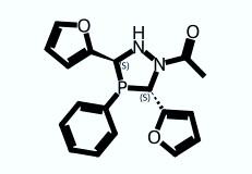 CC(=O)N1N[C@H](c2ccco2)P(c2ccccc2)[C@H]1c1ccco1